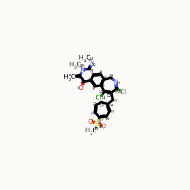 C=C(C(=O)c1ccc2c(c1)C(Cl)=C(CC1=CC=C(S(C)(=O)=O)C=CC1)C(Cl)=NC2)N(C)/C=N\C